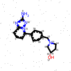 Nc1nc2cccc(-c3ccc(CN4CC[C@H](O)C4)cc3)n2n1